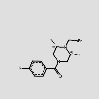 CC(C)CN1[C@H](C)CN(C(=O)c2ccc(F)cc2)C[C@@H]1C